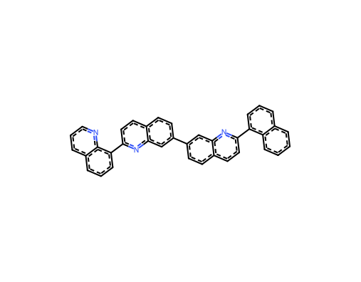 c1ccc2c(-c3ccc4ccc(-c5ccc6ccc(-c7cccc8cccnc78)nc6c5)cc4n3)cccc2c1